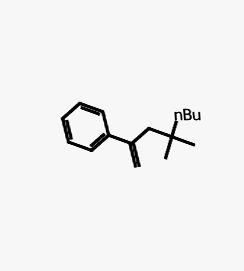 C=C(CC(C)(C)CCCC)c1ccccc1